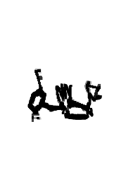 CNc1nccn2c(Cc3cc(F)ccc3F)nnc12